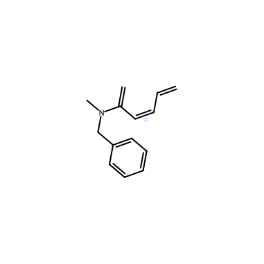 C=C/C=C\C(=C)N(C)Cc1ccccc1